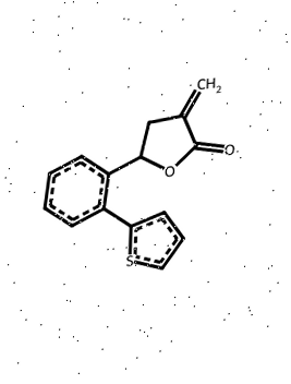 C=C1CC(c2ccccc2-c2cccs2)OC1=O